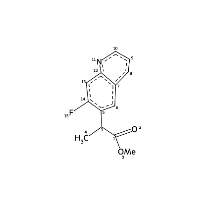 COC(=O)C(C)c1cc2cccnc2cc1F